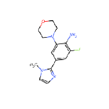 Cn1ccnc1-c1cc(F)c(N)c(N2CCOCC2)c1